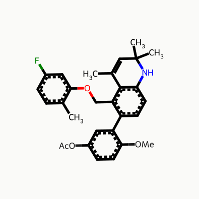 COc1ccc(OC(C)=O)cc1-c1ccc2c(c1COc1cc(F)ccc1C)C(C)=CC(C)(C)N2